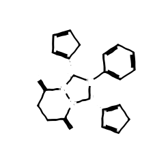 O=C1CCC(=O)N2[C@H](C3=CC=CC3)P(c3ccccc3)[C@H](C3=CCC=C3)N12